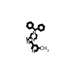 Cc1cncc(-c2nnc3n2CCN(C(c2ccccc2)c2ccccc2)C3)c1